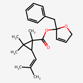 CC(C)=CC1C(C)(C)C1(C)C(=O)OC1(Cc2ccccc2)C=CCO1